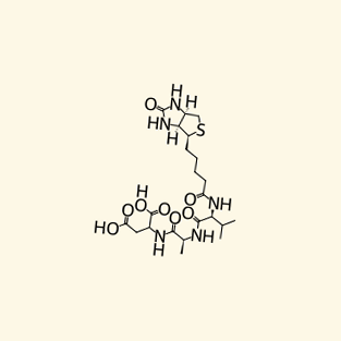 CC(C)[C@H](NC(=O)CCCC[C@@H]1SC[C@@H]2NC(=O)N[C@@H]21)C(=O)N[C@@H](C)C(=O)NC(CC(=O)O)C(=O)O